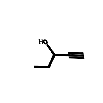 C#CC(O)CC